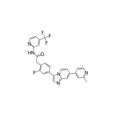 Cc1cc(-c2ccn3c(-c4ccc(CC(=O)Nc5cc(C(F)(F)F)ccn5)c(F)c4)cnc3c2)ccn1